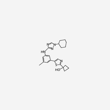 Cc1cc(Nc2ncn(C3CCCCC3)n2)cc(-c2cnc(C3(O)CCC3)s2)c1